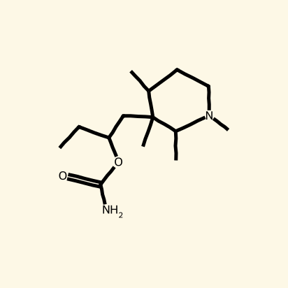 CCC(CC1(C)C(C)CCN(C)C1C)OC(N)=O